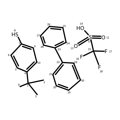 CC(C)(C)c1ccc(S)cc1.O=S(=O)(O)C(F)(F)F.c1ccc(-c2ccccc2)cc1